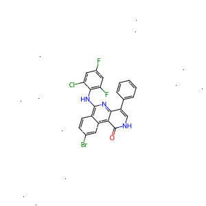 O=c1[nH]cc(-c2ccccc2)c2nc(Nc3c(F)cc(F)cc3Cl)c3ccc(Br)cc3c12